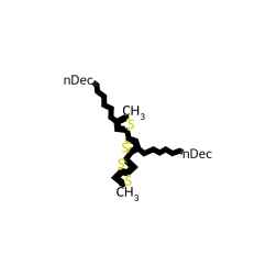 CCCCCCCCCCCCCCCCc1cc(-c2cc(CCCCCCCCCCCCCCCC)c(-c3cc4sc(C)cc4s3)s2)sc1C